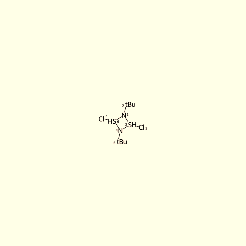 CC(C)(C)N1[SH](Cl)N(C(C)(C)C)[SH]1Cl